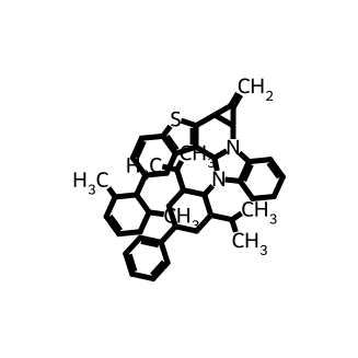 C=C1C2c3sc4c(c3C3N(C5=C(CCC=C5)N3C3C(C(C)C)CC(c5ccccc5)CC3C(C)C)C12)CC(C1C(C)C=CCC1C)C=C4